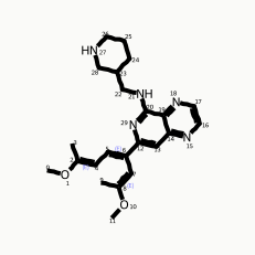 CO/C(C)=C/C=C(\C=C(/C)OC)c1cc2nccnc2c(NCC2CCCNC2)n1